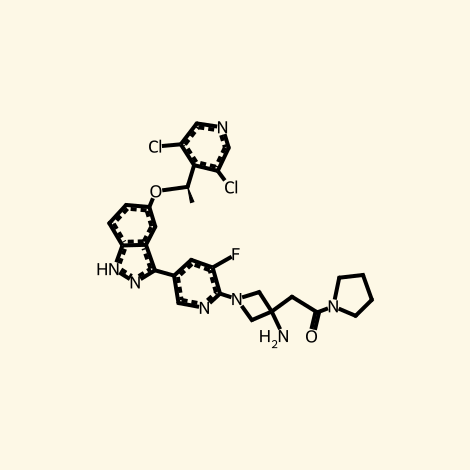 C[C@@H](Oc1ccc2[nH]nc(-c3cnc(N4CC(N)(CC(=O)N5CCCC5)C4)c(F)c3)c2c1)c1c(Cl)cncc1Cl